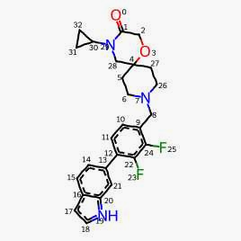 O=C1COC2(CCN(Cc3ccc(-c4ccc5cc[nH]c5c4)c(F)c3F)CC2)CN1C1CC1